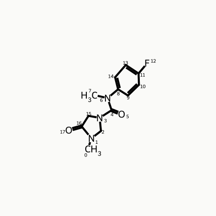 CN1CN(C(=O)N(C)c2ccc(F)cc2)CC1=O